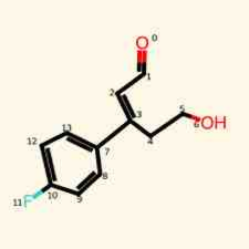 O=CC=C(CCO)c1ccc(F)cc1